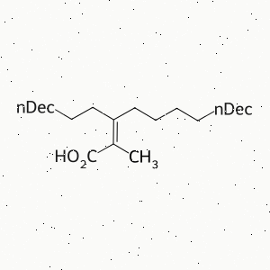 CCCCCCCCCCCCCCC(CCCCCCCCCCCC)=C(C)C(=O)O